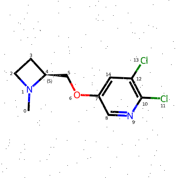 CN1CC[C@H]1COc1cnc(Cl)c(Cl)c1